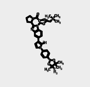 [2H]c1c(-c2ccc3c(c2)nc(C2CCCN2C(=O)OC(C)(C)C)n3COCC[Si](C)(C)C)ccn1-c1ccc(B2OC(C)(C)C(C)(C)O2)cc1